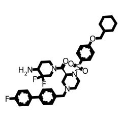 NC1CCN(C(=O)[C@@H]2CN(Cc3ccc(-c4ccc(F)cc4)cc3)CCN2S(=O)(=O)c2ccc(OCC3CCCCC3)cc2)CC1(F)F